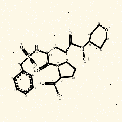 CN(C(=O)CC[C@@H](NS(=O)(=O)Cc1ccccc1)C(=O)N1CCCC1C(=O)O)C1CCOCC1